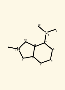 CN1CC2CCCC(N(C)C)C2C1